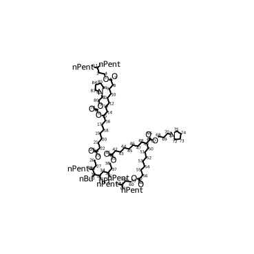 CCCCCC(CCCCC)CCOC(=O)CCCCCCCC(CCCCCCCC(=O)OCCC(CCCCC)C(CCCC)C(CCC)CC(CCCCC)CCOC(=O)CCCCCCCC(CCCCCCCC(=O)OCCC(CCCCC)CCCCC)C(=O)OCCCN1CCCC1)OC(=O)OCCN1CCCC1